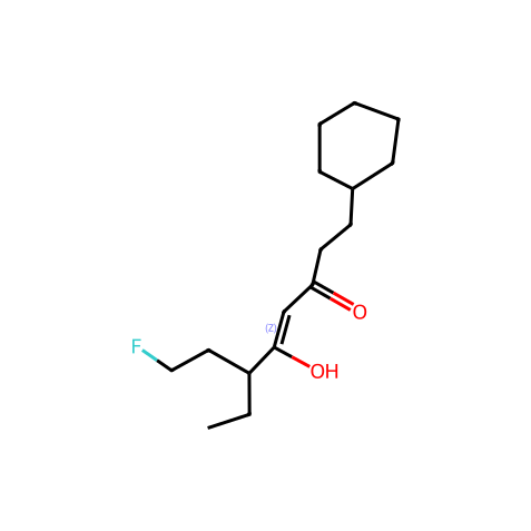 CCC(CCF)/C(O)=C/C(=O)CCC1CCCCC1